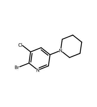 Clc1cc(N2CCCCC2)cnc1Br